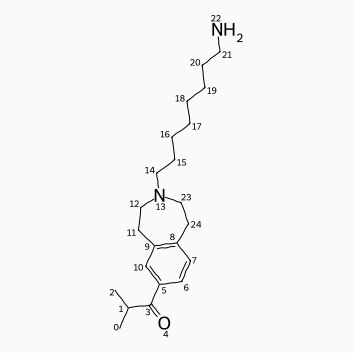 CC(C)C(=O)c1ccc2c(c1)CCN(CCCCCCCCN)CC2